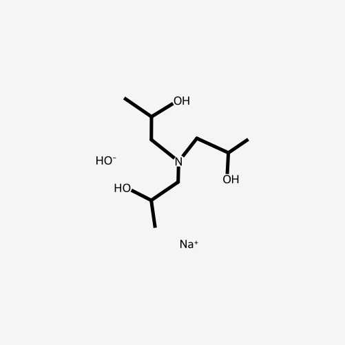 CC(O)CN(CC(C)O)CC(C)O.[Na+].[OH-]